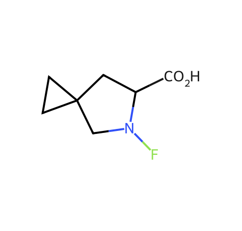 O=C(O)C1CC2(CC2)CN1F